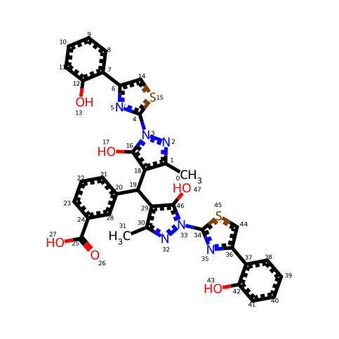 Cc1nn(-c2nc(-c3ccccc3O)cs2)c(O)c1C(c1cccc(C(=O)O)c1)c1c(C)nn(-c2nc(-c3ccccc3O)cs2)c1O